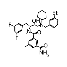 CCc1cccc(CN(C[C@@H](O)[C@H](Cc2cc(F)cc(F)c2)N(C)C(=O)c2cc(C)cc(C(N)=O)c2)C2CCCCC2)c1